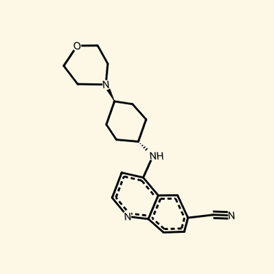 N#Cc1ccc2nccc(N[C@H]3CC[C@H](N4CCOCC4)CC3)c2c1